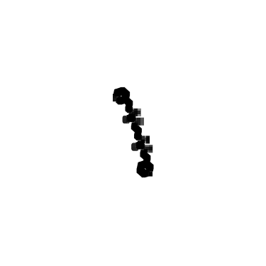 O=C(NCCCNC(=O)NCCc1cccnc1)NCCc1cccnc1